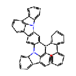 c1ccc(-c2ccccc2B2c3cc4c(cc3-n3c5ccccc5c5cccc2c53)c2cccc3c5ccccc5n4c32)cc1